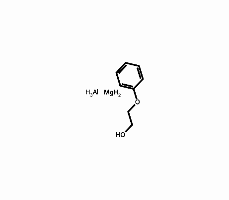 OCCOc1ccccc1.[AlH3].[MgH2]